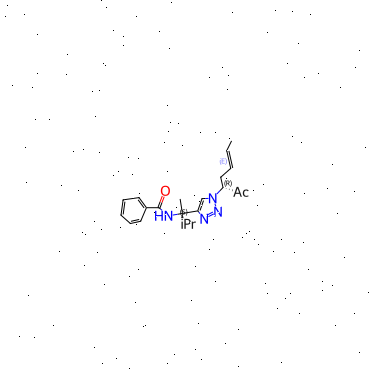 C/C=C/C[C@H](C(C)=O)n1cc([C@@](C)(NC(=O)c2ccccc2)C(C)C)nn1